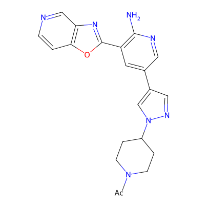 CC(=O)N1CCC(n2cc(-c3cnc(N)c(-c4nc5cnccc5o4)c3)cn2)CC1